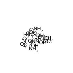 CN(C(=O)OC(C)(C)C)[C@@H]1[C@@H](O)[C@@H](O[C@@H]2[C@@H](O)[C@H](O[C@H]3OC(CNCC4CCN(C(=O)OC(C)(C)C)CC4)=CC[C@H]3N)[C@@H](N)C[C@H]2NC(=O)[C@H](O)CCN)OC[C@]1(C)O